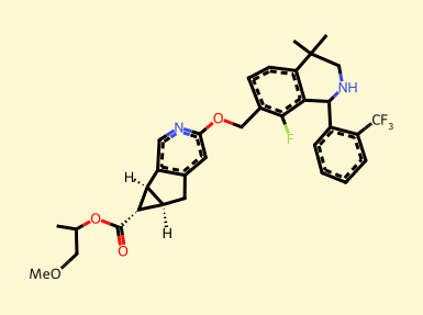 COCC(C)OC(=O)[C@H]1[C@@H]2Cc3cc(OCc4ccc5c(c4F)C(c4ccccc4C(F)(F)F)NCC5(C)C)ncc3[C@@H]21